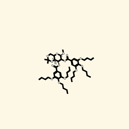 CCCCOc1cc(C(=O)OC2[C@H](OC)OC3COC(C)(C)O[C@H]3[C@@H]2OC(=O)c2cc(OCCCC)c(OCCCC)c(OCCCC)c2)cc(OCCCC)c1OCCCC